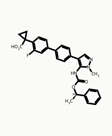 C[C@@H](OC(=O)Nc1c(-c2ccc(-c3ccc(C4(C(=O)O)CC4)c(F)c3)cc2)cnn1C)c1ccccc1